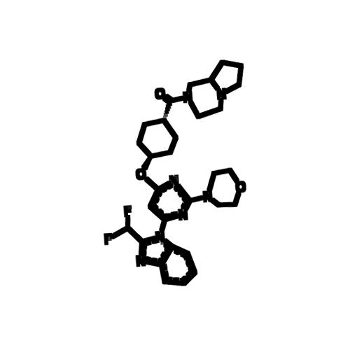 O=C([C@H]1CC[C@H](Oc2cc(-n3c(C(F)F)nc4ccccc43)nc(N3CCOCC3)n2)CC1)N1CCN2CCCC2C1